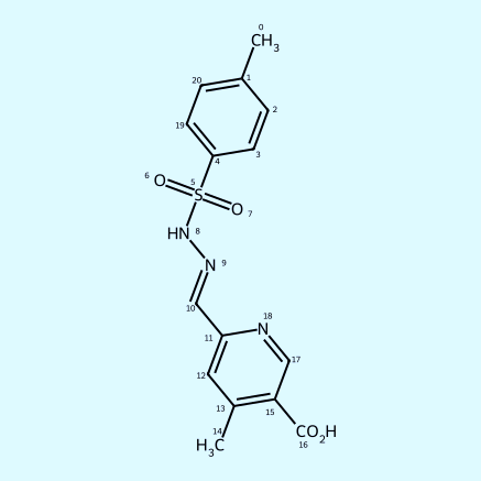 Cc1ccc(S(=O)(=O)NN=Cc2cc(C)c(C(=O)O)cn2)cc1